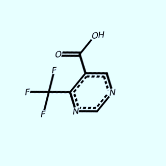 O=C(O)c1cncnc1C(F)(F)F